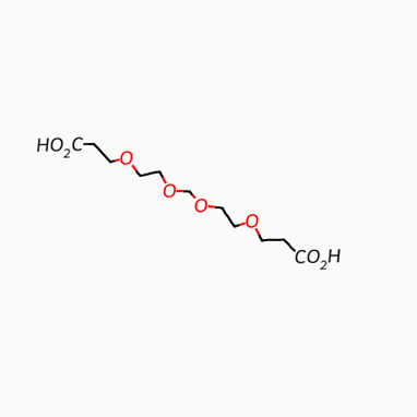 O=C(O)CCOCCOCOCCOCCC(=O)O